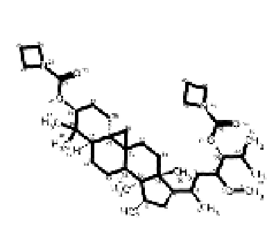 COC(C[C@@H](C)[C@H]1C[C@H](O)[C@@]2(C)C3CC[C@H]4C(C)(C)[C@@H](OC(=O)N5CCC5)CC[C@@]45CC35CC[C@]12C)[C@H](OC(=O)N1CCC1)C(C)C